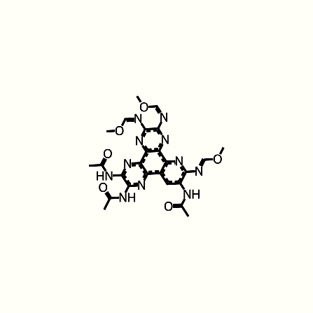 CO/C=N\c1nc2c3nc(/N=C/OC)c(NC(C)=O)cc3c3nc(NC(C)=O)c(NC(C)=O)nc3c2nc1/N=C\OC